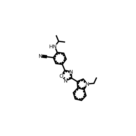 CCn1cc(-c2noc(-c3ccc(NC(C)C)c(C#N)c3)n2)c2ccccc21